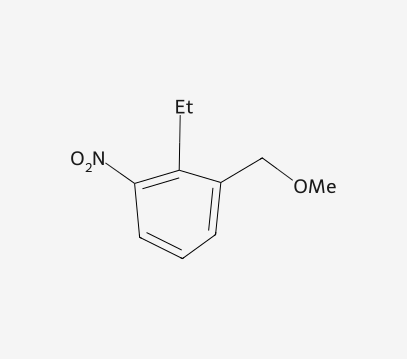 CCc1c(COC)cccc1[N+](=O)[O-]